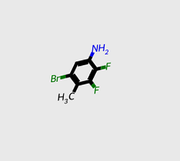 Cc1c(Br)cc(N)c(F)c1F